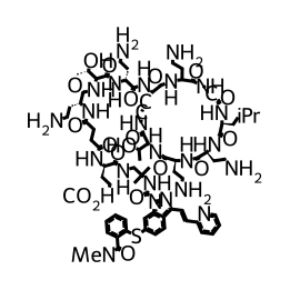 CNC(=O)c1ccccc1Sc1ccc2c(/C=C/c3ccccn3)nn(C(=O)NC(C)(C)CNC(=O)[C@@H](CCC(=O)O)NC(=O)CCC(=O)N[C@H](CCN)C(=O)NC(C(=O)N[C@H](CCN)C(=O)N[C@@H]3CCNC(=O)C(C(C)O)NC(=O)[C@H](CCN)NC(=O)[C@H](CCN)NC(=O)[C@H](CC(C)C)NC(=O)CNC(=O)C(CCN)NC3=O)[C@H](C)O)c2c1